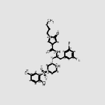 CCCCN1CC(C(=O)NC(Cc2cc(F)cc(F)c2)C[C@H]2CN(S(=O)(=O)c3cc(Cl)ccc3Cl)CCN2)CC1=O